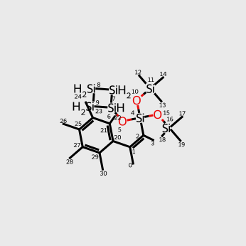 CC(=C(C)[Si](O[SiH]1[SiH2][SiH2][SiH2]1)(O[Si](C)(C)C)O[Si](C)(C)C)c1c(C)c(C)c(C)c(C)c1C